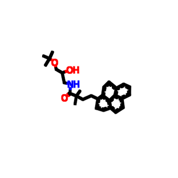 CC(C)(C)OCC(O)CNC(=O)C(C)(C)CCc1ccc2ccc3cccc4ccc1c2c34